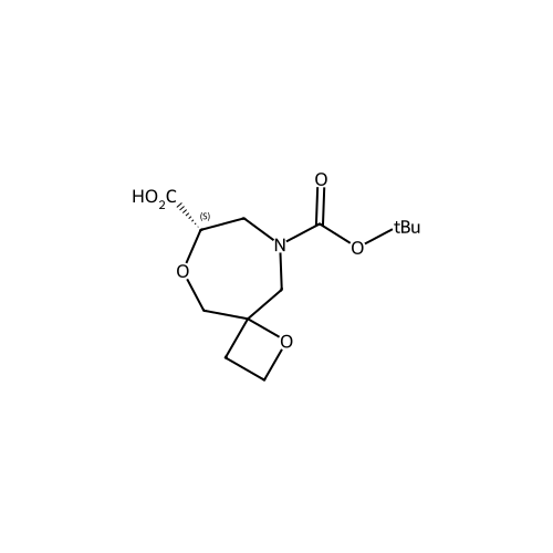 CC(C)(C)OC(=O)N1C[C@@H](C(=O)O)OCC2(CCO2)C1